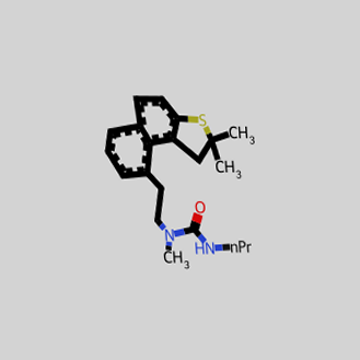 CCCNC(=O)N(C)CCc1cccc2ccc3c(c12)CC(C)(C)S3